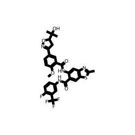 COc1ccc(C2=NOC(C(C)(C)O)C2)cc1C(=O)Nc1cc2nc(C)sc2cc1C(=O)Nc1ccc(F)c(C(F)(F)F)c1